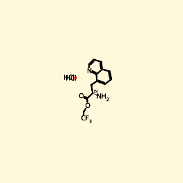 Cl.Cl.N[C@@H](Cc1cccc2cccnc12)C(=O)OCC(F)(F)F